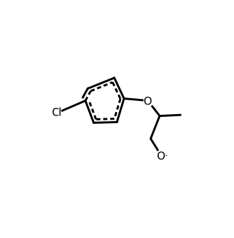 CC(C[O])Oc1ccc(Cl)cc1